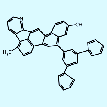 Cc1ccc2c(c1)c(-c1cc(-c3ccccc3)cc(-c3ccccc3)c1)cc1c3ccc(C)c4c3c(cc21)-c1ncccc1-4